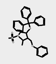 CC1C(COc2ccccc2)C(SC(c2ccccc2)(c2ccccc2)c2ccccc2)CN1S(C)(=O)=O